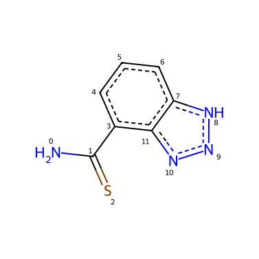 NC(=S)c1cccc2[nH]nnc12